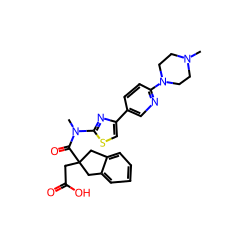 CN1CCN(c2ccc(-c3csc(N(C)C(=O)C4(CC(=O)O)Cc5ccccc5C4)n3)cn2)CC1